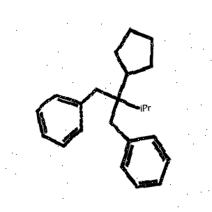 CC(C)C(Cc1ccccc1)(Cc1ccccc1)C1CCCC1